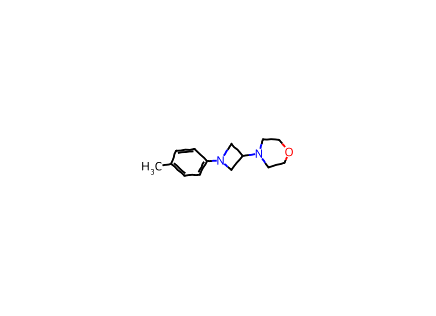 Cc1ccc(N2CC(N3CCOCC3)C2)cc1